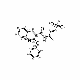 CC(C=CS(C)(=O)=O)NC(=O)c1cc2ccccc2nc1Oc1ccccc1